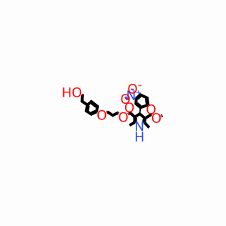 COC(=O)C1=C(C)NC(C)=C(C(=O)OCCCOc2ccc(CCO)cc2)[C@H]1c1cccc([N+](=O)[O-])c1